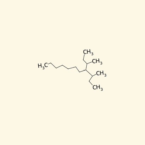 CCCCCCC[C](C(C)CC)C(C)CC